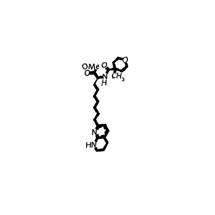 COC(=O)[C@H](CCCCCCCc1ccc2c(n1)NCCC2)NC(=O)C1(C)CCOCC1